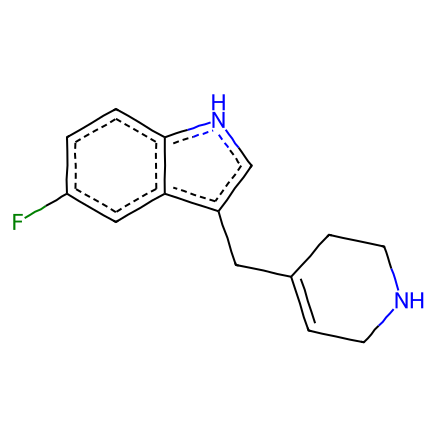 Fc1ccc2[nH]cc(CC3=CCNCC3)c2c1